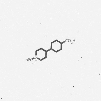 CCC[SiH]1CCC(C2CCC(C(=O)O)CC2)CC1